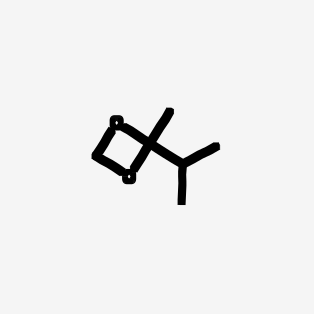 CC(C)C1(C)OCO1